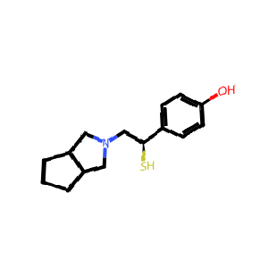 Oc1ccc([C@@H](S)CN2CC3CCCC3C2)cc1